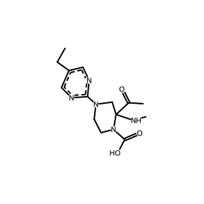 CCc1cnc(N2CCN(C(=O)O)C(NC)(C(C)=O)C2)nc1